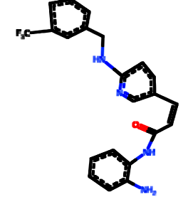 Nc1ccccc1NC(=O)/C=C\c1ccc(NCc2cccc(C(F)(F)F)c2)nc1